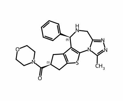 Cc1nnc2n1-c1sc3c(c1[C@@H](c1ccccc1)NC2)C[C@H](C(=O)N1CCOCC1)C3